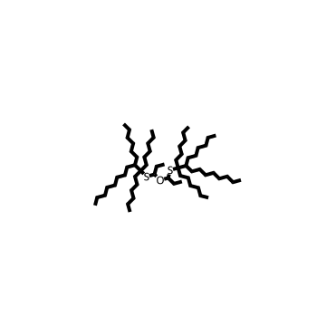 CCCCCCCCC(CCCCCC)C(CCCCCC)(CCCCCC)SC(CC)OC(CC)SC(CCCCCC)(CCCCCC)C(CCCCCC)CCCCCCCC